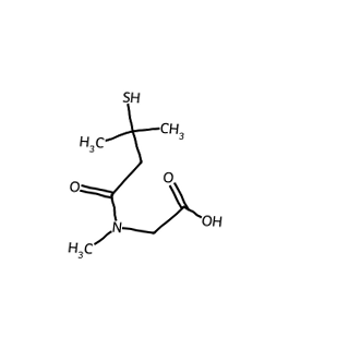 CN(CC(=O)O)C(=O)CC(C)(C)S